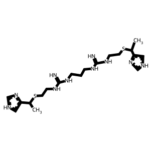 CC(SCCNC(=N)NCCCNC(=N)NCCSC(C)c1c[nH]cn1)c1c[nH]cn1